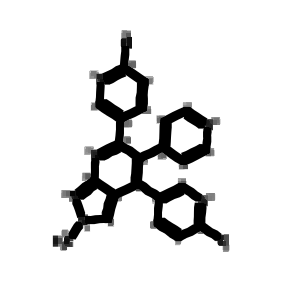 Cn1cc2c(-c3ccc(Cl)nc3)c(-c3ccncc3)c(-c3ccc(Cl)nc3)nc2n1